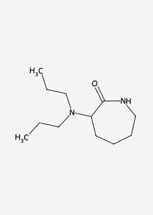 CCCN(CCC)C1CCCCNC1=O